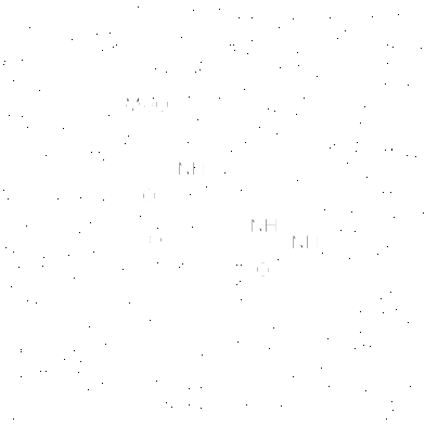 COCCNC(=O)c1cc(NC(=O)Nc2ccccc2)ccc1OC(c1ccccc1)c1ccccc1